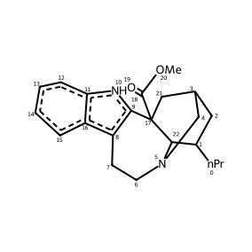 CCCC1CC2CN3CCc4c([nH]c5ccccc45)C(C(=O)OC)(C2)C13